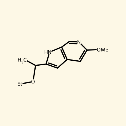 CCOC(C)c1cc2cc(OC)ncc2[nH]1